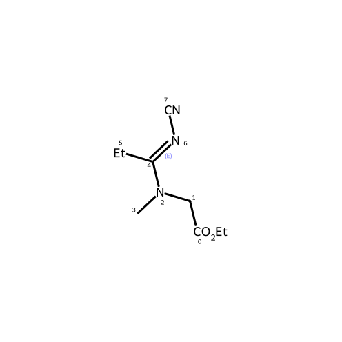 CCOC(=O)CN(C)/C(CC)=N/C#N